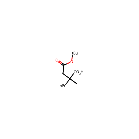 CCCC(C)(CC(=O)OC(C)(C)C)C(=O)O